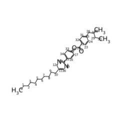 CCCCCCCCCCCc1cnc(-c2ccc(OC(=O)c3ccc(C[C@@H](C)CC)cc3)cc2)nc1